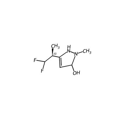 C[C@@H](C1=CC(O)N(C)N1)C(F)F